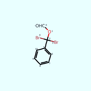 O=[C]OC(Br)(Br)c1ccccc1